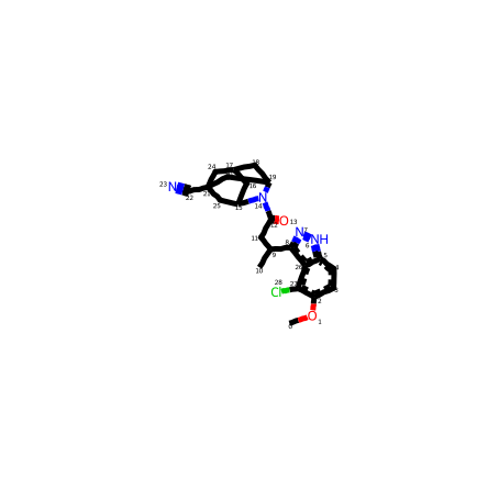 COc1ccc2[nH]nc(C(C)CC(=O)N3C4CC5CC3CC(C#N)(C5)C4)c2c1Cl